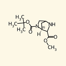 COC(=O)C1NC2C[C@@H]1N(C(=O)OC(C)(C)C)C2